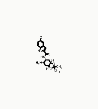 CC1(C)O[C@H]2C[C@@H](NC(=O)c3cc4cc(Cl)ccc4[nH]3)[C@@H](N)C[C@H]2O1